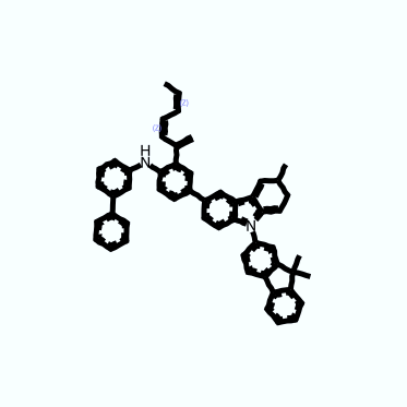 C=C(/C=C\C=C/C)c1cc(-c2ccc3c(c2)c2c(n3-c3ccc4c(c3)C(C)(C)c3ccccc3-4)=CCC(C)C=2)ccc1Nc1cccc(-c2ccccc2)c1